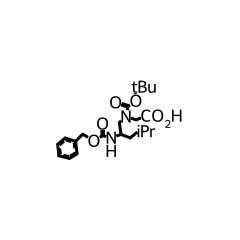 CC(C)CC(CN(CC(=O)O)C(=O)OC(C)(C)C)NC(=O)OCc1ccccc1